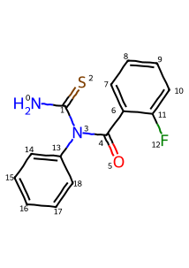 NC(=S)N(C(=O)c1ccccc1F)c1ccccc1